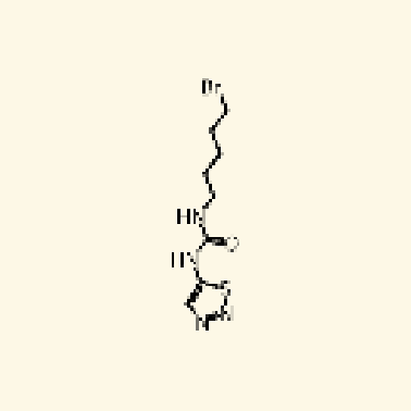 O=C(NCCCCCBr)Nc1cnns1